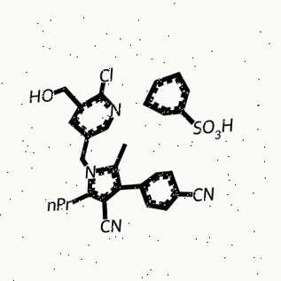 CCCc1c(C#N)c(-c2ccc(C#N)cc2)c(C)n1Cc1cnc(Cl)c(CO)c1.O=S(=O)(O)c1ccccc1